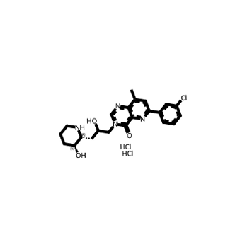 Cc1cc(-c2cccc(Cl)c2)nc2c(=O)n(CC(O)C[C@H]3NCCC[C@@H]3O)cnc12.Cl.Cl